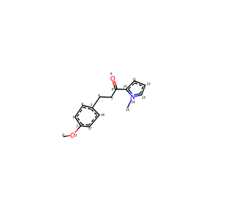 COc1ccc(CCC(=O)c2cccn2C)cc1